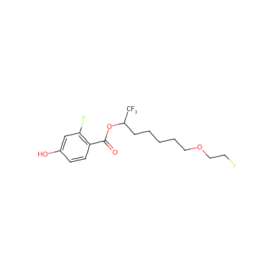 O=C(OC(CCCCCOCCF)C(F)(F)F)c1ccc(O)cc1F